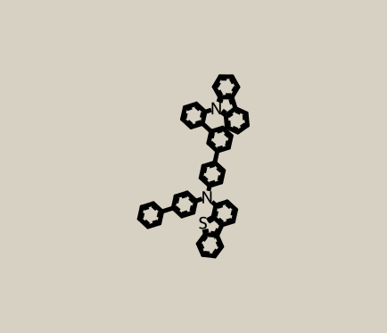 c1ccc(-c2ccc(N(c3ccc(-c4cccc(-c5ccccc5-n5c6ccccc6c6ccccc65)c4)cc3)c3cccc4c3sc3ccccc34)cc2)cc1